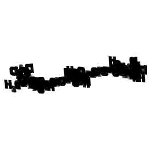 CN1Cc2c(Cl)cc(Cl)cc2C(c2ccc(S(=O)(=O)NCCOCCOCCNC(=O)C(O)C(O)C(=O)NCCOCCOCCNS(=O)(=O)c3ccc(C4CNCc5c(Cl)cc(Cl)cc54)cc3)cc2)C1